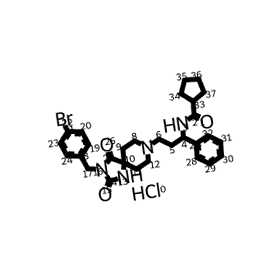 Cl.O=C(NC(CCN1CCC2(CC1)NC(=O)N(Cc1ccc(Br)cc1)C2=O)c1ccccc1)C1CCCC1